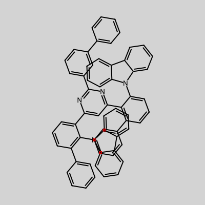 c1ccc(-c2cccc(-c3nc(-c4cccc(-c5ccccc5)c4-n4c5ccccc5c5ccccc54)cc(-c4c(-c5ccccc5)cccc4-n4c5ccccc5c5ccccc54)n3)c2)cc1